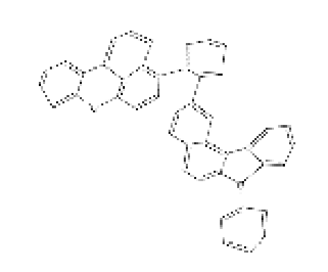 c1ccc(-n2c3ccccc3c3c4cc(-c5ccccc5-c5ccc6c7c(cccc57)-c5ccccc5O6)ccc4ccc32)cc1